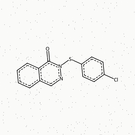 O=c1c2ccccc2cnn1Sc1ccc(Cl)cc1